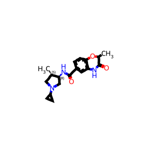 CC1Oc2ccc(C(=O)N[C@H]3CN(C4CC4)C[C@@H]3C)cc2NC1=O